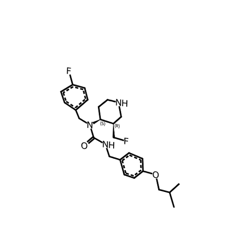 CC(C)COc1ccc(CNC(=O)N(Cc2ccc(F)cc2)[C@H]2CCNC[C@H]2CF)cc1